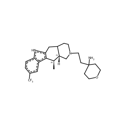 C[C@H]1c2c([nH]c3ccc(C(F)(F)F)cc23)CC2CCN(CCC3(N)CCOCC3)C[C@@H]21